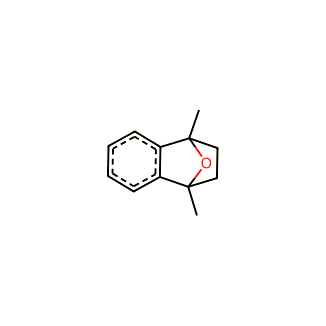 CC12CCC(C)(O1)c1ccccc12